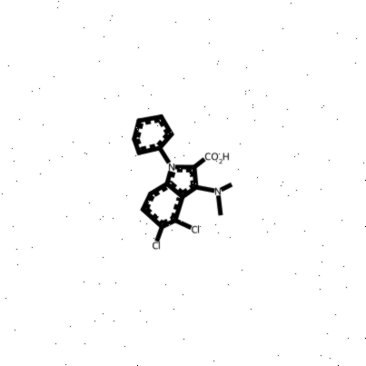 CN(C)c1c(C(=O)O)n(-c2ccccc2)c2ccc(Cl)c(Cl)c12